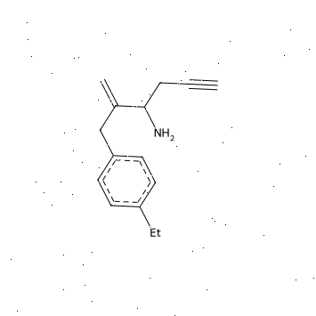 C#CCC(N)C(=C)Cc1ccc(CC)cc1